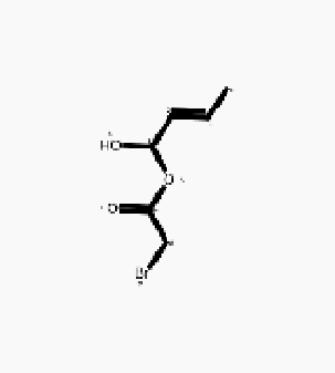 CC=CC(O)OC(=O)CBr